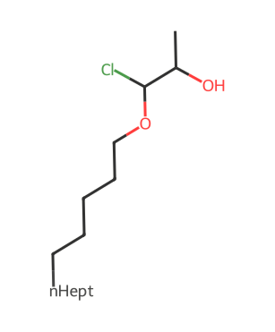 CCCCCCCCCCCCOC(Cl)C(C)O